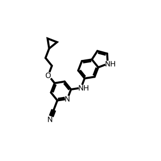 N#Cc1cc(OCCC2CC2)cc(Nc2ccc3cc[nH]c3c2)n1